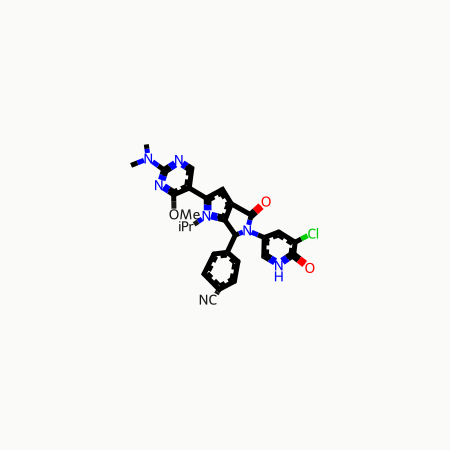 COc1nc(N(C)C)ncc1-c1cc2c(n1C(C)C)C(c1ccc(C#N)cc1)N(c1c[nH]c(=O)c(Cl)c1)C2=O